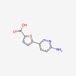 Nc1ccc(-c2ccc(C(=O)O)s2)cn1